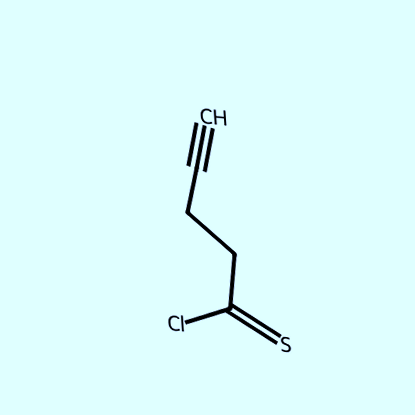 C#CCCC(=S)Cl